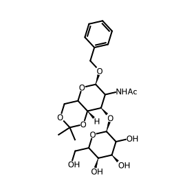 CC(=O)NC1[C@H](OCc2ccccc2)OC2COC(C)(C)O[C@H]2[C@@H]1O[C@@H]1OC(CO)[C@H](O)[C@H](O)C1O